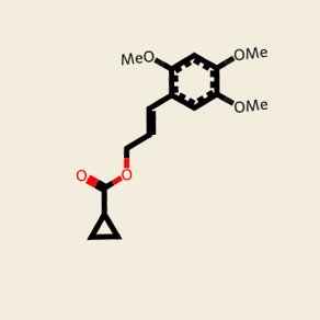 COc1cc(OC)c(OC)cc1C=CCOC(=O)C1CC1